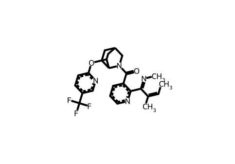 C/C=C(C)\C(=N/C)c1ncccc1C(=O)N1CC2CCC1C(Oc1ccc(C(F)(F)F)cn1)C2